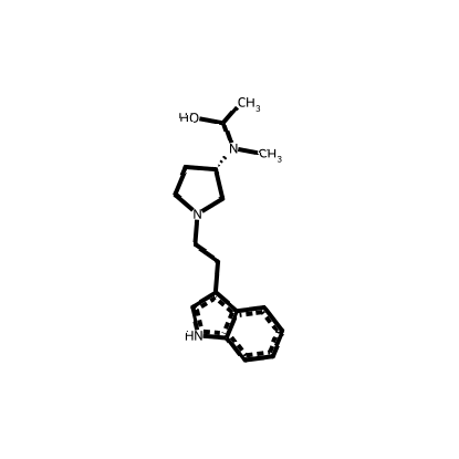 CC(O)N(C)[C@H]1CCN(CCc2c[nH]c3ccccc23)C1